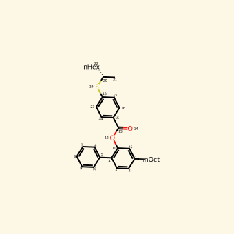 CCCCCCCCc1ccc(-c2ccccc2)c(OC(=O)c2ccc(S[C@@H](C)CCCCCC)cc2)c1